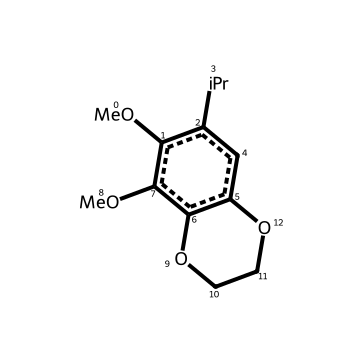 COc1c(C(C)C)cc2c(c1OC)OCCO2